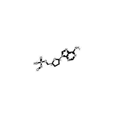 Nc1ncnc2c1ncn2[C@H]1CC[C@@H](COP(=O)(S)N=O)O1